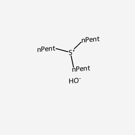 CCCCC[S+](CCCCC)CCCCC.[OH-]